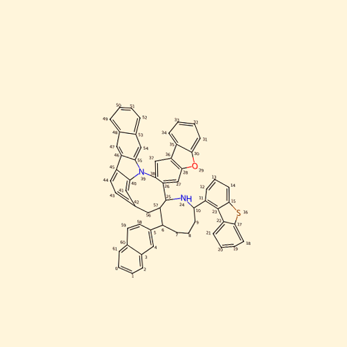 c1ccc2cc(C3CCCC(c4cccc5sc6ccccc6c45)NC4c5cc6oc7ccccc7c6cc5-n5c6cc(ccc6c6cc7ccccc7cc65)CC34)ccc2c1